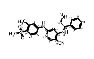 Cc1cc(Nc2ncc(C#N)c(N[C@H](CO)c3ccccc3)n2)ccc1S(C)(=O)=O